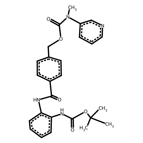 CN(C(=O)OCc1ccc(C(=O)Nc2ccccc2NC(=O)OC(C)(C)C)cc1)c1cccnc1